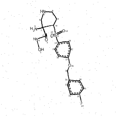 NC1(C(=O)NO)CNCCC1S(=O)(=O)c1ccc(OCc2ccc(F)cc2)cc1